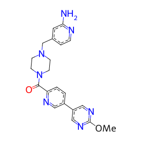 COc1ncc(-c2ccc(C(=O)N3CCN(Cc4ccnc(N)c4)CC3)nc2)cn1